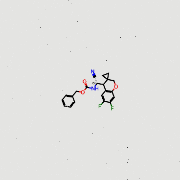 N#C[C@@H](NC(=O)OCc1ccccc1)C1c2cc(F)c(F)cc2OCC12CC2